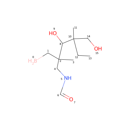 BCC(C)(CNC=O)C(O)C(C)(CC)CO